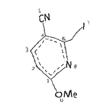 COc1ccc(C#N)c(I)n1